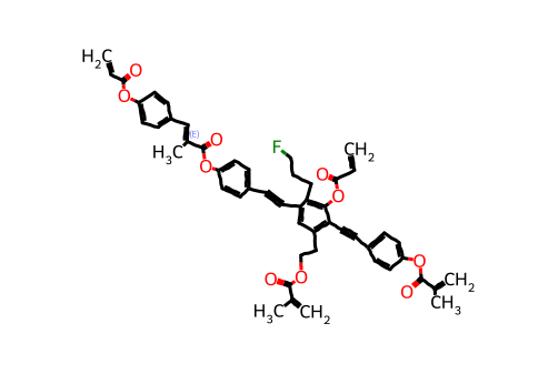 C=CC(=O)Oc1ccc(/C=C(\C)C(=O)Oc2ccc(C#Cc3cc(CCOC(=O)C(=C)C)c(C#Cc4ccc(OC(=O)C(=C)C)cc4)c(OC(=O)C=C)c3CCCF)cc2)cc1